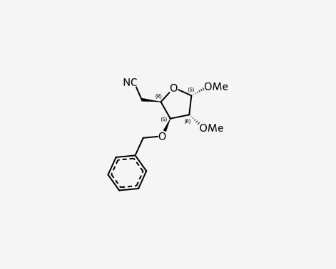 CO[C@H]1O[C@H](CC#N)[C@H](OCc2ccccc2)[C@H]1OC